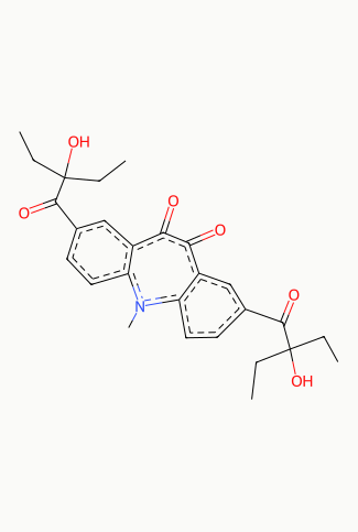 CCC(O)(CC)C(=O)c1ccc2c(c1)c(=O)c(=O)c1cc(C(=O)C(O)(CC)CC)ccc1n2C